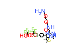 Cc1sc2c(c1C)C(c1ccc(Cl)cc1)=N[C@@H](CC(=O)NCCOCCOCCN)c1nnc(C)n1-2.O=C(O)C(F)(F)F.O=C(O)C(F)(F)F